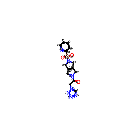 O=C(Cn1cnnn1)N1CC2=C(C1)CN(S(=O)(=O)c1ccccn1)C2